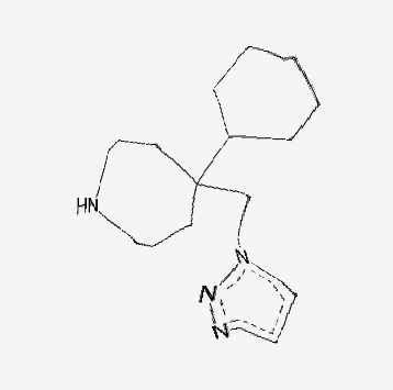 c1cn(CC2(C3CCCCC3)CCNCC2)nn1